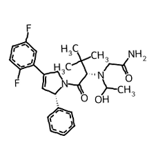 CC(O)N(CC(N)=O)[C@H](C(=O)N1CC(c2cc(F)ccc2F)=C[C@H]1c1ccccc1)C(C)(C)C